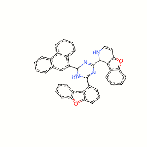 C1=Cc2oc3ccccc3c2C(C2=NC(c3cc4ccccc4c4ccccc34)NC(c3cccc4oc5ccccc5c34)=N2)N1